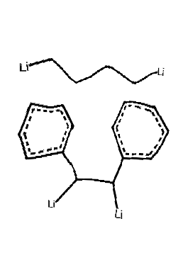 [Li][CH2]CC[CH2][Li].[Li][CH](c1ccccc1)[CH]([Li])c1ccccc1